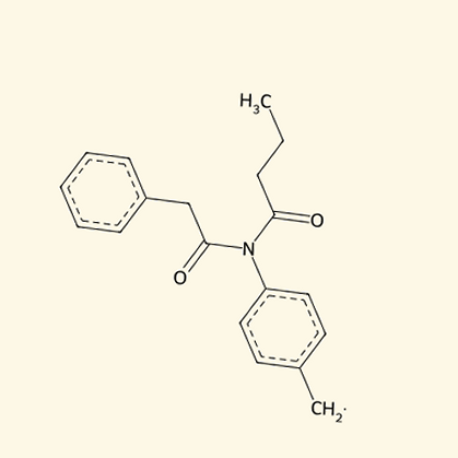 [CH2]c1ccc(N(C(=O)CCC)C(=O)Cc2ccccc2)cc1